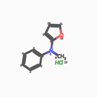 CN(c1ccccc1)c1ccco1.Cl